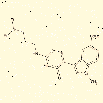 CCN(CC)CCCNc1nnc(-c2cn(C)c3ccc(OC)cc23)c(=O)[nH]1